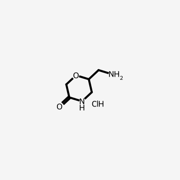 Cl.NCC1CNC(=O)CO1